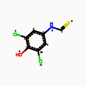 Oc1c(Cl)cc(NC=S)cc1Cl